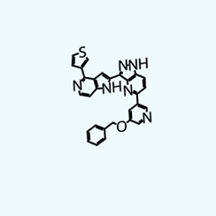 c1ccc(COc2cncc(-c3ccc4[nH]nc(-c5cc6c(-c7ccsc7)nccc6[nH]5)c4n3)c2)cc1